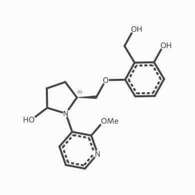 COc1ncccc1N1C(O)CC[C@H]1COc1cccc(O)c1CO